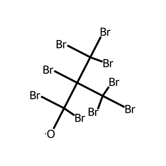 [O]C(Br)(Br)C(Br)(C(Br)(Br)Br)C(Br)(Br)Br